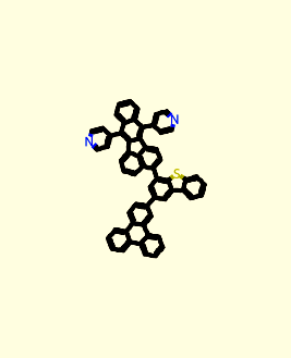 c1ccc2c(c1)sc1c(-c3ccc4c5c(cccc35)-c3c-4c(-c4ccncc4)c4ccccc4c3-c3ccncc3)cc(-c3ccc4c5ccccc5c5ccccc5c4c3)cc12